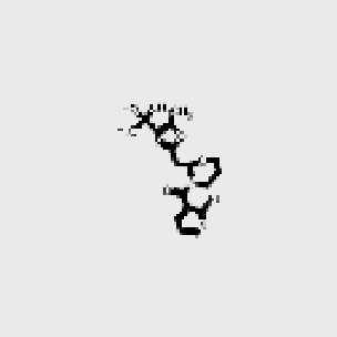 CCc1ncccc1C(=O)N1CCCC[C@@H]1Cc1nc(C(C)(C)O)c(C)o1